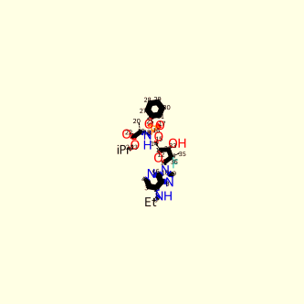 CCNc1ccnc2c1ncn2[C@@H]1O[C@H](COP(=O)(N[C@@H](C)C(=O)OC(C)C)Oc2ccccc2)[C@@H](O)[C@@]1(C)F